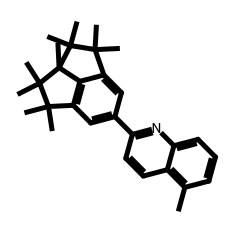 Cc1cccc2nc(-c3cc4c5c(c3)C(C)(C)C(C)(C)C5(C)C(C)(C)C4(C)C)ccc12